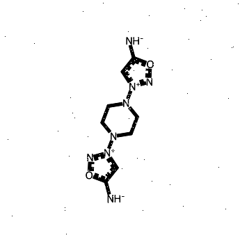 [NH-]c1c[n+](N2CCN([n+]3cc([NH-])on3)CC2)no1